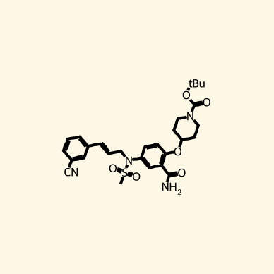 CC(C)(C)OC(=O)N1CCC(Oc2ccc(N(CC=Cc3cccc(C#N)c3)S(C)(=O)=O)cc2C(N)=O)CC1